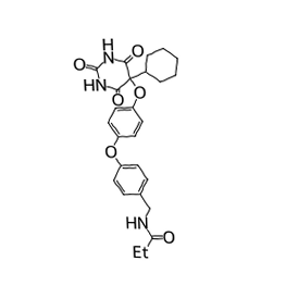 CCC(=O)NCc1ccc(Oc2ccc(OC3(C4CCCCC4)C(=O)NC(=O)NC3=O)cc2)cc1